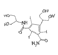 NC(=O)c1c(I)c(C(=O)NC(CO)CO)c(I)c(C(CO)CO)c1I